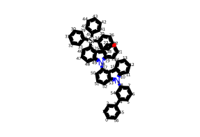 c1ccc(-c2cccc(-n3c4ccccc4c4c(-n5c6ccccc6c6c([Si](c7ccccc7)(c7ccccc7)c7ccccc7)cccc65)cccc43)c2)cc1